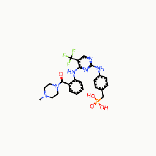 CN1CCN(C(=O)c2ccccc2Nc2nc(Nc3ccc(CP(=O)(O)O)cc3)ncc2C(F)(F)F)CC1